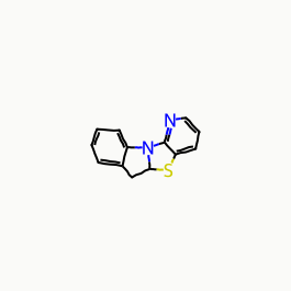 c1ccc2c(c1)CC1Sc3cccnc3N21